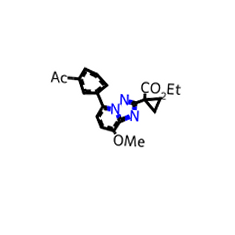 CCOC(=O)C1(c2nc3c(OC)ccc(-c4cccc(C(C)=O)c4)n3n2)CC1